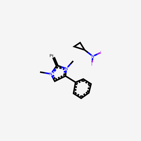 Cn1cc(-c2ccccc2)n(C)[c]1=[Pt].IN(I)C1CC1